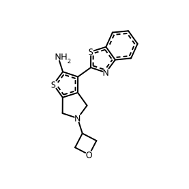 Nc1sc2c(c1-c1nc3ccccc3s1)CN(C1COC1)C2